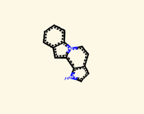 c1ccc2c(c1)cc1c3[nH]ccc3ccn21